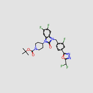 CC(C)(C)OC(=O)N1CCC(n2c(=O)n(Cc3ccc(-c4nnc(C(F)F)o4)cc3F)c3cc(F)c(F)cc32)CC1